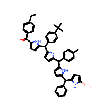 Bc1ccc(C(c2ccccc2)c2ccc(C(c3ccc(C)cc3)c3ccc(C(c4ccc(C(C)(C)C)cc4)c4ccc(C(=O)c5ccc(CC)cc5)[nH]4)[nH]3)[nH]2)[nH]1